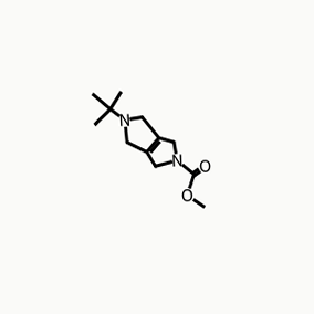 COC(=O)N1CC2=C(C1)CN(C(C)(C)C)C2